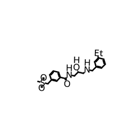 CCc1cccc(CNC[C@@H](O)CNC(=O)c2cccc(CS(C)(=O)=O)c2)c1